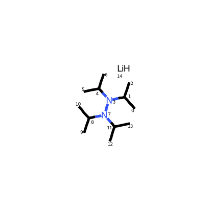 CC(C)N(C(C)C)N(C(C)C)C(C)C.[LiH]